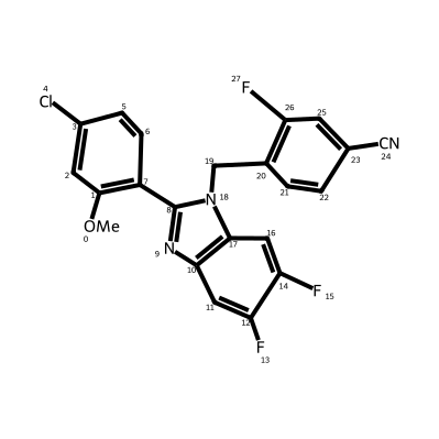 COc1cc(Cl)ccc1-c1nc2cc(F)c(F)cc2n1Cc1ccc(C#N)cc1F